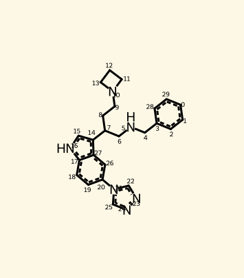 c1ccc(CNCC(CCN2CCC2)c2c[nH]c3ccc(-n4cnnc4)cc23)cc1